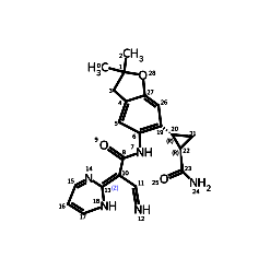 CC1(C)Cc2cc(NC(=O)/C(C=N)=C3\N=CC=CN3)c([C@@H]3C[C@H]3C(N)=O)cc2O1